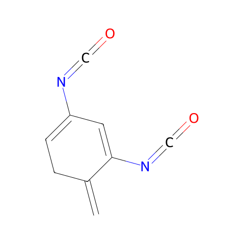 C=C1CC=C(N=C=O)C=C1N=C=O